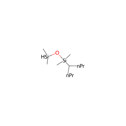 CCCC(CCC)[Si](C)(C)O[SiH](C)C